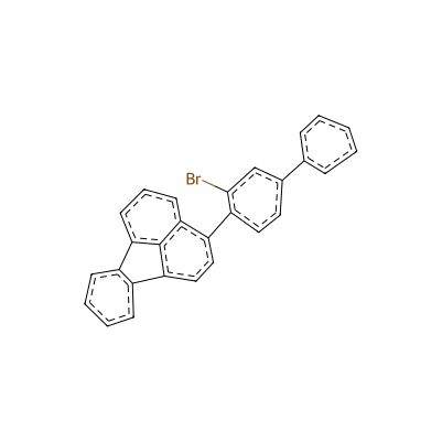 Brc1cc(-c2ccccc2)ccc1-c1ccc2c3c(cccc13)-c1ccccc1-2